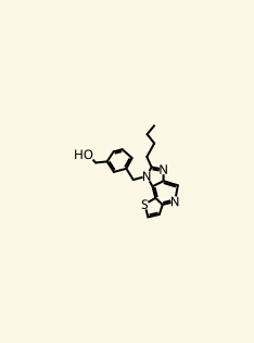 CCCCc1nc2cnc3ccsc3c2n1Cc1cccc(CO)c1